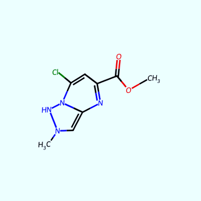 COC(=O)C1=NC2=CN(C)NN2C(Cl)=C1